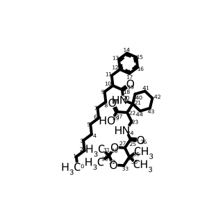 CCCCCCCCCCC(Cc1ccccc1)C(=O)NC1(C(CNC(=O)C2OC(C)(C)OCC2(C)C)C(=O)O)CCCCC1